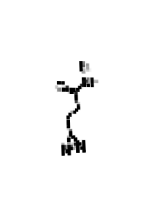 CCNC(=O)CCC1N=N1